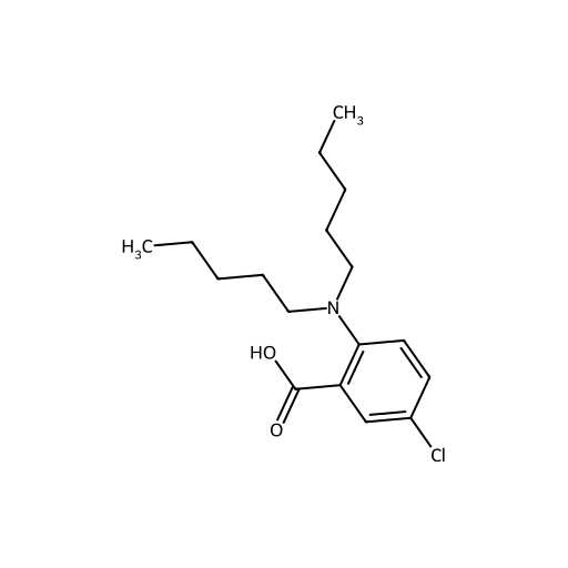 CCCCCN(CCCCC)c1ccc(Cl)cc1C(=O)O